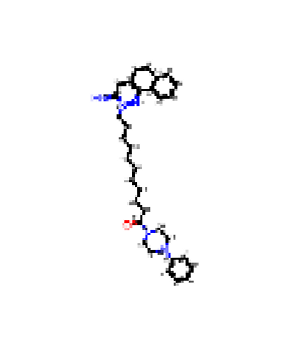 N=c1cc2c(nn1CCCCCCCCCCC(=O)N1CCN(c3ccccc3)CC1)-c1ccccc1CC2